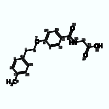 Cc1ccc(CCOc2ccc(C(=O)NCC(=O)O)cc2)cc1